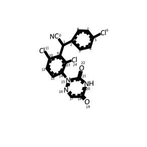 N#CC(c1ccc(Cl)cc1)c1c(Cl)ccc(-n2ncc(=O)[nH]c2=O)c1Cl